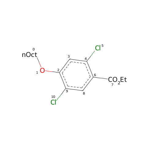 CCCCCCCCOc1cc(Cl)c(C(=O)OCC)cc1Cl